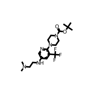 CN(C)CCNc1cnc(N2CCN(C(=O)OC(C)(C)C)CC2)c(C(F)(F)F)c1